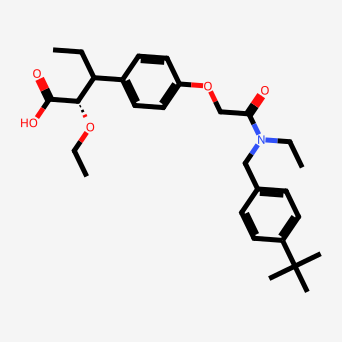 CCO[C@H](C(=O)O)C(CC)c1ccc(OCC(=O)N(CC)Cc2ccc(C(C)(C)C)cc2)cc1